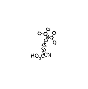 N#C/C(=C\c1ccc(-c2ccc(-c3ccc(N(c4cc(-c5ccccc5)cc(-c5ccccc5)c4)c4cc(-c5ccccc5)cc(-c5ccccc5)c4)cc3)s2)s1)C(=O)O